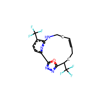 FC(F)(F)c1ccc2nc1NCCC=CCCC(C(F)(F)F)c1nnc-2o1